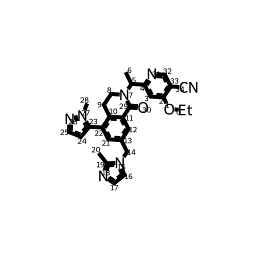 CCOc1cc(C(C)N2CCc3c(cc(Cn4ccnc4C)cc3-c3ccnn3C)C2=O)ncc1C#N